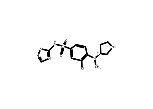 CN(c1ccc(S(=O)(=O)Nc2ncns2)cc1Cl)[C@H]1CCNC1